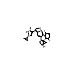 Fc1ccc(F)c([C@@]23C[C@@H]2CCN3c2ccn3ncc(C4=CN(C5CC5)NN4)c3n2)c1